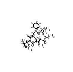 CCOC(=O)c1sc2c(c1C)c(=O)n(C(C)(C)C(=O)O)c(=O)n2C[C@H](OC(C)CC)c1ccccc1